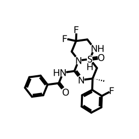 C[C@@]1(c2ccccc2F)C[SH]2(=O)NCC(F)(F)CN2C(NC(=O)c2ccccc2)=N1